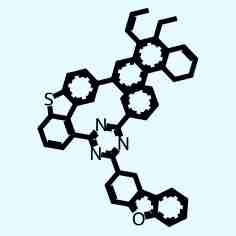 C/C=C\c1c(CC)c2c(c3ccc(-c4ccc5c(c4)C4=C(c6nc(-c7ccccc7)nc(C7C=Cc8oc9ccccc9c8C7)n6)C=CCC4S5)cc13)CCC=C2